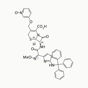 CO/N=C(\C(=O)N[C@@H]1C(=O)N2C(C(=O)O)=C(COc3ccc[n+]([O-])c3)CS[C@H]12)c1csc(NC(c2ccccc2)(c2ccccc2)c2ccccc2)n1